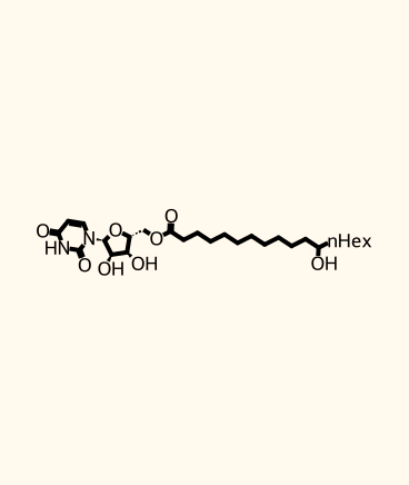 CCCCCCC(O)CCCCCCCCCCC(=O)OC[C@H]1O[C@@H](n2ccc(=O)[nH]c2=O)[C@H](O)[C@@H]1O